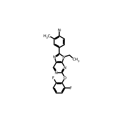 CCn1c(-c2ccc([N])c(C)c2)nc2cnc(Oc3c(F)cccc3F)nc21